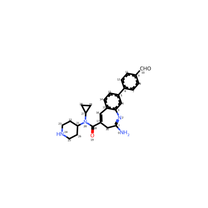 NC1=Nc2cc(-c3ccc(C=O)cc3)ccc2C=C(C(=O)N(C2CCNCC2)C2CC2)C1